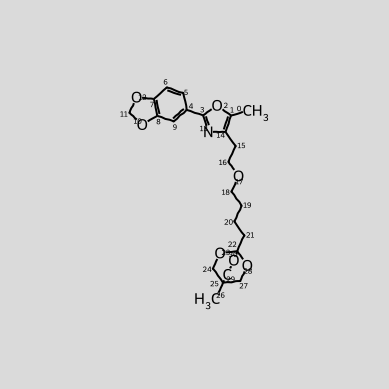 Cc1oc(-c2ccc3c(c2)OCO3)nc1CCOCCCCC12OCC(C)(CO1)CO2